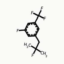 CC(C)(F)Cc1cc(F)cc(C(F)(F)F)c1